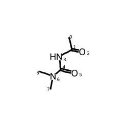 CC(=O)NC(=O)N(C)C